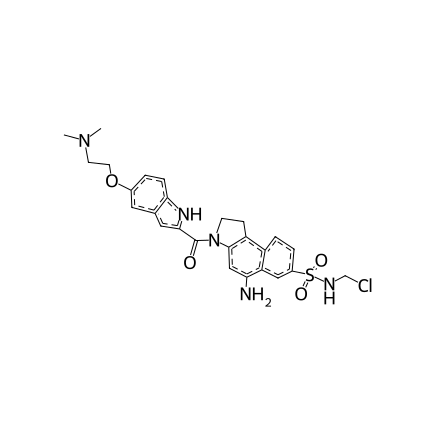 CN(C)CCOc1ccc2[nH]c(C(=O)N3CCc4c3cc(N)c3cc(S(=O)(=O)NCCl)ccc43)cc2c1